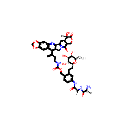 C=C(CCNC(=O)OCc1ccc(NC(=O)[C@H](C)NC(=O)[C@@H](N)C(C)C)cc1CC[C@@H]1O[C@H](C(=O)O)[C@@H](O)[C@H](O)[C@H]1O)c1c2c(nc3cc4c(cc13)OCO4)-c1cc3c(c(=O)n1C2)COC(=O)[C@]3(O)CC